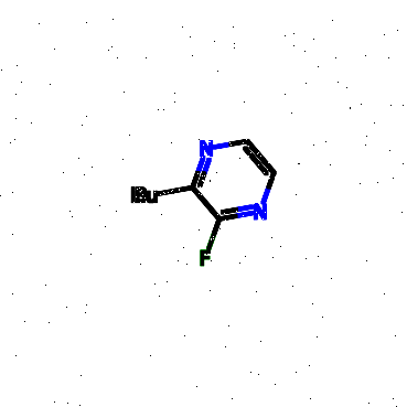 [CH2]C(CC)c1nccnc1F